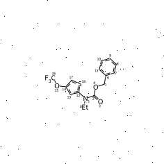 CCN(C(=O)OCc1ccccc1)c1cc(OC(F)(F)F)cs1